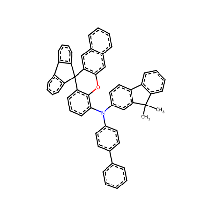 CC1(C)c2ccccc2-c2ccc(N(c3ccc(-c4ccccc4)cc3)c3cccc4c3Oc3cc5ccccc5cc3C43c4ccccc4-c4ccccc43)cc21